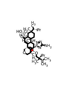 CC(C)[C@@H](C)[C@@]1(C)CC[C@]2(C)[C@H]3CC[C@@H]4[C@@]5(COC[C@]4(C)[C@@H](OC[C@](C)(C(C)C)N(C)C)[C@H](n4nnc(N)n4)C5)C3=CC(=O)[C@@]2(C)[C@@H]1C(=O)O